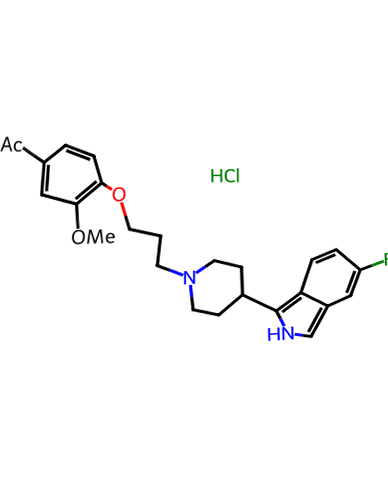 COc1cc(C(C)=O)ccc1OCCCN1CCC(c2[nH]cc3cc(F)ccc23)CC1.Cl